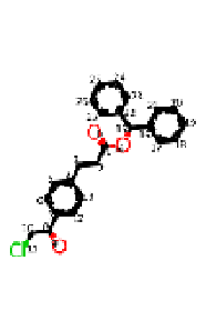 O=C(CCc1ccc(C(=O)CCl)cc1)OC(c1ccccc1)c1ccccc1